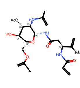 C=CC(=O)N[C@@H](CC(=O)N[C@@H]1O[C@H](COC(=C)C)[C@@H](O)[C@H](OC(C)=O)[C@H]1NC(=C)C)C(=C)NC